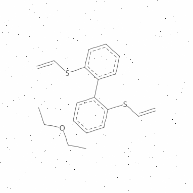 C=CSc1ccccc1-c1ccccc1SC=C.CCOCC